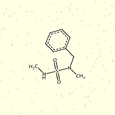 CNS(=O)(=O)N(C)Cc1ccccc1